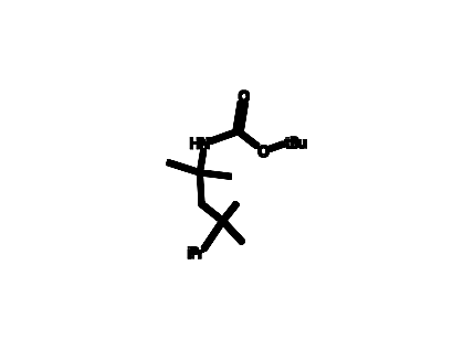 CC(C)C(C)(C)CC(C)(C)NC(=O)OC(C)(C)C